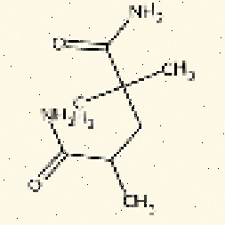 CC(CC(C)(C)C(N)=O)C(N)=O